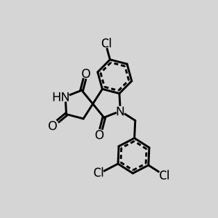 O=C1CC2(C(=O)N1)C(=O)N(Cc1cc(Cl)cc(Cl)c1)c1ccc(Cl)cc12